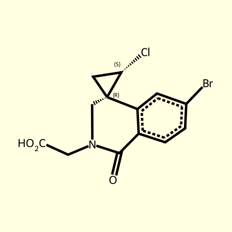 O=C(O)CN1C[C@@]2(C[C@@H]2Cl)c2cc(Br)ccc2C1=O